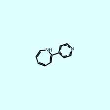 C1=CC=C(c2ccncc2)NC=C1